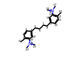 Cc1ccc(CCCCc2ccc(C)c(N(C)C)c2)cc1N(C)C